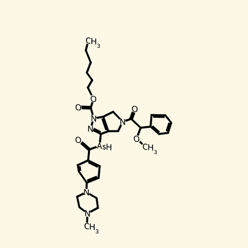 CCCCCCOC(=O)n1nc([AsH]C(=O)c2ccc(N3CCN(C)CC3)cc2)c2c1CN(C(=O)C(OC)c1ccccc1)C2